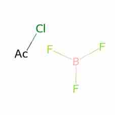 CC(=O)Cl.FB(F)F